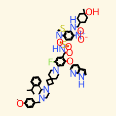 COc1ccc(CN2CCN(C3CC4(CCN(c5cc(Oc6cnc7[nH]ccc7c6)c(C(=O)NS(=O)(=O)c6cc([N+](=O)[O-])c(NCC7CCC(C)(O)CC7)c7scnc67)cc5F)CC4)C3)[C@H](c3ccccc3C(C)C)C2)cc1